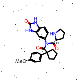 COc1ccc(C2(C(=O)N(C(=O)[C@H]3CCCN3)c3ccc4[nH]c(=O)[nH]c4c3)CCCC2)cc1